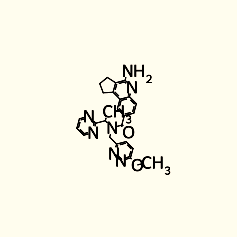 COc1ccc(CN(C(=O)c2ccc3nc(N)c4c(c3c2)CCC4)C(C)c2ncccn2)nn1